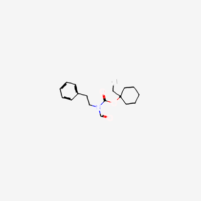 CCC1(OC(=O)N(C=O)CCc2ccccc2)CCCCC1